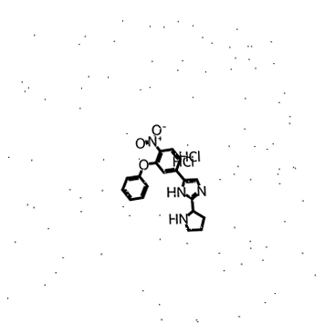 Cl.Cl.O=[N+]([O-])c1ccc(-c2cnc(C3CCCN3)[nH]2)cc1Oc1ccccc1